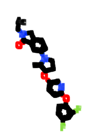 C=C1[C@H](Oc2ccc(Oc3ccc(F)cc3F)nc2)CCN1c1ccc2c(c1)C(=O)N(CC(C)=O)C2